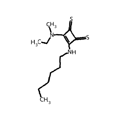 CCCCCCNc1c(N(C)CC)c(=S)c1=S